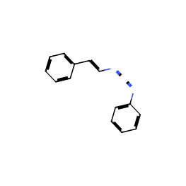 C(=NC=Cc1ccccc1)=Nc1ccccc1